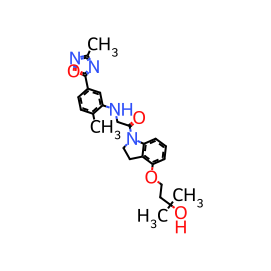 Cc1noc(-c2ccc(C)c(NCC(=O)N3CCc4c(OCCC(C)(C)O)cccc43)c2)n1